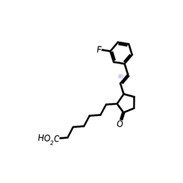 O=C(O)CCCCCCC1C(=O)CCC1/C=C/c1cccc(F)c1